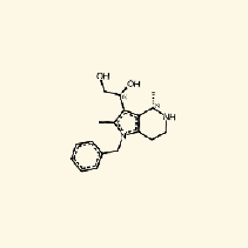 Cc1c([C@H](O)CO)c2c(n1Cc1ccccc1)CCN[C@H]2C